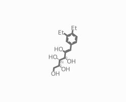 CCc1ccc(C=C(O)[C@H](O)[C@@H](O)[C@H](O)CO)cc1CC